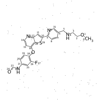 COCCNCc1ccc(-c2cc3nccc(Oc4ccc(NC=O)cc4F)c3s2)nc1